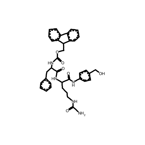 NC(=O)NCCCC(NC(=O)C(Cc1ccccc1)NC(=O)OCC1c2ccccc2-c2ccccc21)C(=O)Nc1ccc(CO)cc1